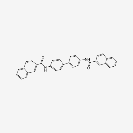 O=C(Nc1ccc(-c2ccc(NC(=O)c3ccc4ccccc4c3)cc2)cc1)c1ccc2ccccc2c1